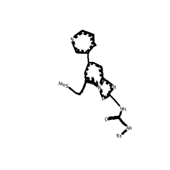 CCNC(=O)Nc1nc2cc(-c3cccnc3)cc(CSC)n2n1